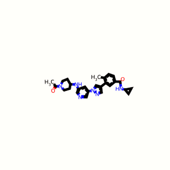 CC(=O)N1CCC(Nc2cncc(-n3cc(-c4cc(C(=O)NC5CC5)ccc4C)cn3)c2)CC1